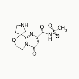 CS(=O)(=O)NC(=O)c1cc(=O)n2c(n1)C1(CCNC1)OCC2